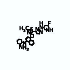 Cc1nc(Oc2ccc(N[C@@H]3CCCC[C@H]3N)c3ccccc23)c(-c2ccnc(N[C@@H]3CNC[C@@H](F)C3)n2)s1